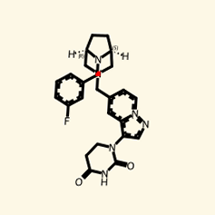 O=C1CCN(c2cnn3ccc(CN4C[C@H]5CC[C@@H](C4)N5Cc4cccc(F)c4)cc23)C(=O)N1